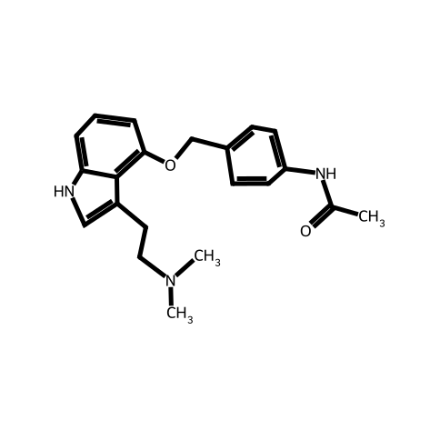 CC(=O)Nc1ccc(COc2cccc3[nH]cc(CCN(C)C)c23)cc1